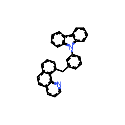 c1cc(Cc2cccc3ccc4cccnc4c23)cc(-n2c3ccccc3c3ccccc32)c1